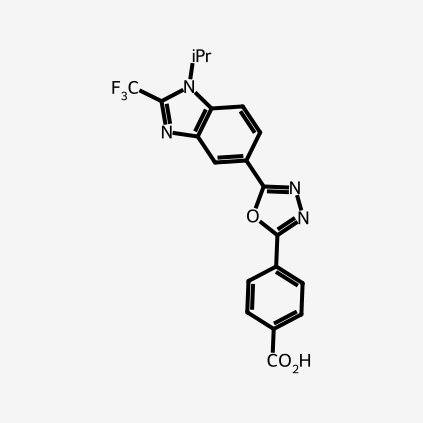 CC(C)n1c(C(F)(F)F)nc2cc(-c3nnc(-c4ccc(C(=O)O)cc4)o3)ccc21